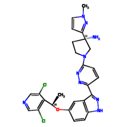 C[C@@H](Oc1ccc2[nH]nc(-c3ccc(N4CC[C@@](N)(c5ccn(C)n5)C4)nn3)c2c1)c1c(Cl)cncc1Cl